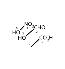 CC(=O)O.O=CO.O=[N+]([O-])O